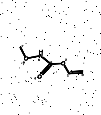 C=COC(=O)NOC